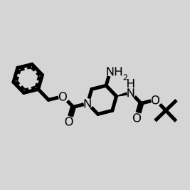 CC(C)(C)OC(=O)N[C@H]1CCN(C(=O)OCc2ccccc2)CC1N